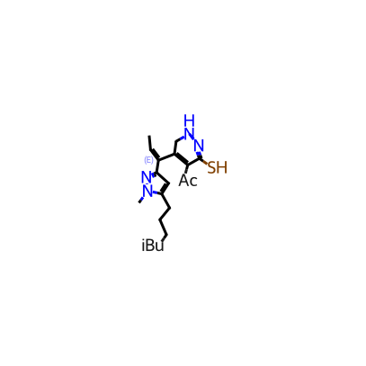 C/C=C(\C1=C(C(C)=O)C(S)=NNC1)c1cc(CCCC(C)CC)n(C)n1